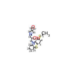 CCSc1ccc2c(c1)N(CC(O)CN1CC3(COC3)C1)c1ccccc1S2